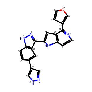 c1cc2[nH]c(-c3n[nH]c4ccc(-c5cn[nH]c5)cc34)cc2c(-c2ccoc2)n1